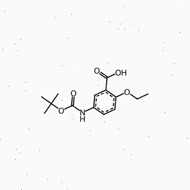 CCOc1ccc(NC(=O)OC(C)(C)C)cc1C(=O)O